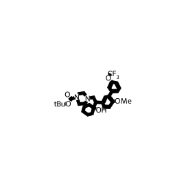 COc1ccc(C(CN2CCN(C(=O)OC(C)(C)C)CC2)C2(O)CCCCC2)cc1-c1cccc(OC(F)(F)F)c1